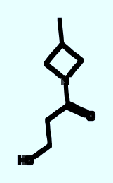 CC1CN(C(=O)CCO)C1